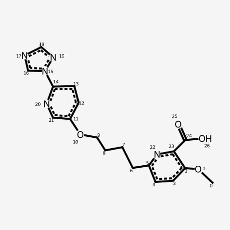 COc1ccc(CCCCOc2ccc(-n3cncn3)nc2)nc1C(=O)O